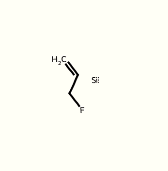 C=CCF.[Si]